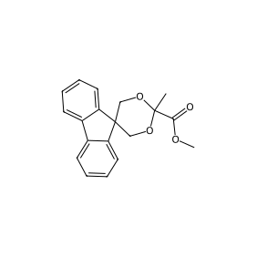 COC(=O)C1(C)OCC2(CO1)c1ccccc1-c1ccccc12